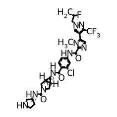 C=C(F)Cn1cc(-c2cnc(C(=O)Nc3ccc(C(=O)N[C@H]4[C@@H]5CN(C(=O)N[C@H]6CCNC6)C[C@@H]54)c(Cl)c3)n2C)c(C(F)(F)F)n1